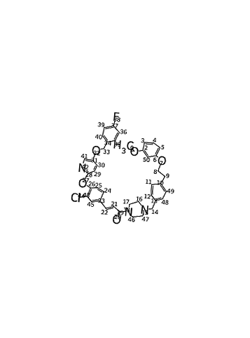 COc1cccc(OCCc2ccc(CN3CCN(C(=O)/C=C/c4ccc(Oc5ccc(OCc6ccc(F)cc6)cn5)c(Cl)c4)CC3)cc2)c1